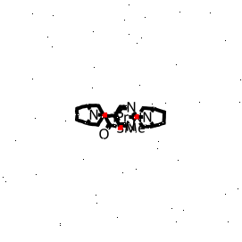 CSC(=O)CN1C2CCC1CC(c1cnc(N3C4CCC3CN(C(C)C)C4)nc1)C2